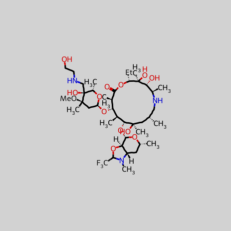 CC[C@H]1OC(=O)[C@H](C)[C@@H](O[C@H]2C[C@@](C)(OC)[C@](O)(CNCCO)[C@H](C)O2)[C@H](C)[C@@H](O[C@@H]2O[C@H](C)C[C@H]3[C@H]2OC(C(F)(F)F)N3C)[C@](C)(O)C[C@@H](C)CN[C@H](C)[C@@H](O)[C@]1(C)O